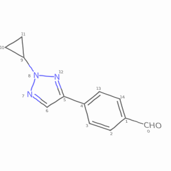 O=Cc1ccc(-c2cnn(C3CC3)n2)cc1